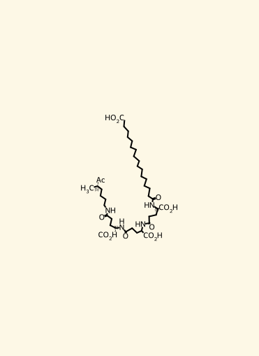 CC(=O)[C@@H](C)CCCCNC(=O)CC[C@H](NC(=O)CCC(NC(=O)CC[C@H](NC(=O)CCCCCCCCCCCCCCCCC(=O)O)C(=O)O)C(=O)O)C(=O)O